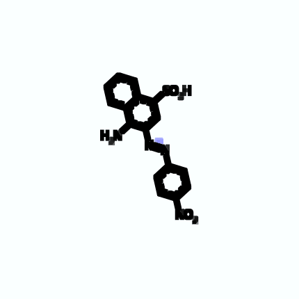 Nc1c(/N=N/c2ccc([N+](=O)[O-])cc2)cc(S(=O)(=O)O)c2ccccc12